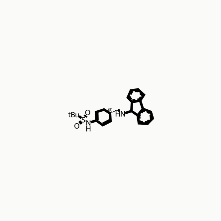 CC(C)(C)S(=O)(=O)NC1=CC[C@H](CNC2c3ccccc3-c3ccccc32)C=C1